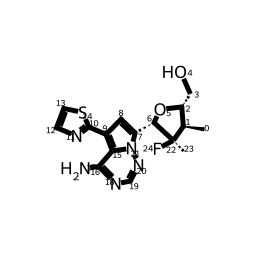 C[C@@H]1[C@@H](CO)O[C@@H](c2cc(-c3nccs3)c3c(N)ncnn23)[C@]1(C)F